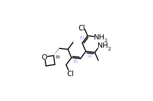 C/C(N)=C(/C=C(\N)Cl)\C=C(\CCl)C(C)C[C@@H]1CCO1